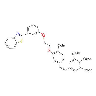 COc1ccc(/C=C\c2cc(OC)c(OC)c(OC)c2)cc1OCCOc1cccc(-c2nc3ccccc3s2)c1